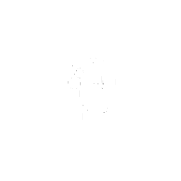 CSc1[nH]c2cccc3c2c1C[C@H]1[C@H]3CC(C(OC=O)C2CCCCCN2)CN1C